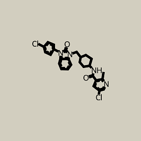 Cc1ncc(Cl)cc1C(=O)NC1CCC(Cn2c(=O)n(-c3ccc(Cl)cc3)c3ccccc32)CC1